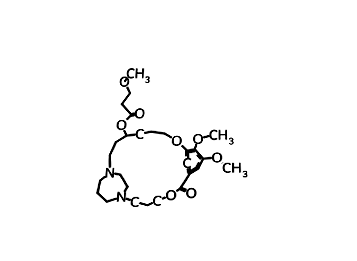 COCCC(=O)OC1CCCOc2cc(cc(OC)c2OC)C(=O)OCCCN2CCCN(CC1)CC2